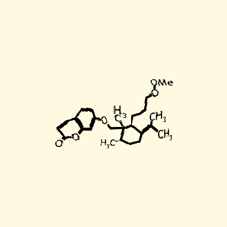 COOCCC[C@H]1C(=C(C)C)CC[C@H](C)[C@]1(C)COc1ccc2ccc(=O)oc2c1